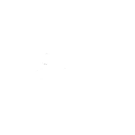 Cc1ccc(S(=O)(=O)OC(O)C(CC(=O)OC(c2ccccc2)c2ccccc2)C2CC(=O)N2)cc1